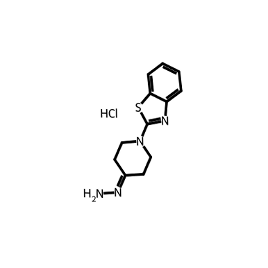 Cl.NN=C1CCN(c2nc3ccccc3s2)CC1